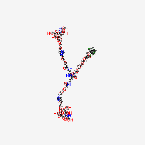 O=C(CCOCCOCCn1cc(COCCOCCO[C@]2(C(=O)O)C[C@@H](O)[C@H](NC(=O)CO)[C@@H]([C@@H](O)[C@@H](O)CO)O2)nn1)NCCCC[C@@H](NC(=O)CCCNC(=O)CCOCCOCCn1cc(COCCOCCO[C@]2(C(=O)O)C[C@@H](O)[C@H](NC(=O)CO)[C@@H]([C@@H](O)[C@@H](O)CO)O2)nn1)C(=O)NCCOCCOCCOCCOCCC(=O)Oc1c(F)c(F)c(F)c(F)c1F